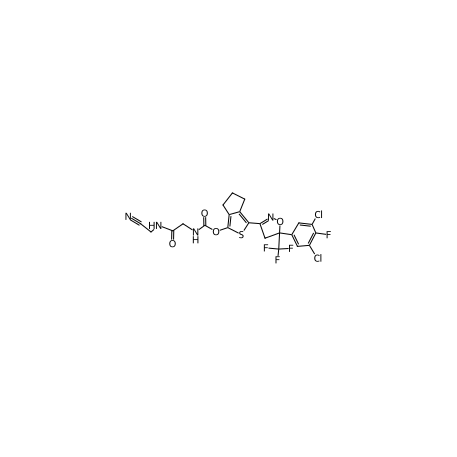 N#CCNC(=O)CNC(=O)Oc1sc(C2=NOC(c3cc(Cl)c(F)c(Cl)c3)(C(F)(F)F)C2)c2c1CCC2